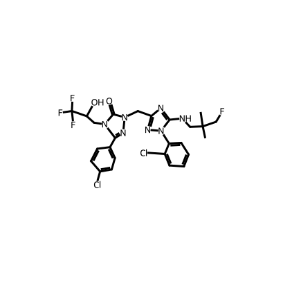 CC(C)(CF)CNc1nc(Cn2nc(-c3ccc(Cl)cc3)n(CC(O)C(F)(F)F)c2=O)nn1-c1ccccc1Cl